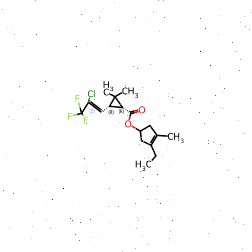 CCC1=C(C)CC(OC(=O)[C@@H]2[C@H](/C=C(\Cl)C(F)(F)F)C2(C)C)C1